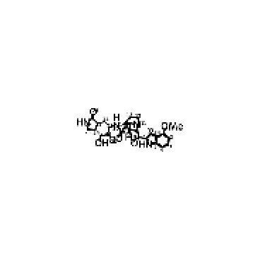 COc1cccc2[nH]c(C(=O)N3C4CCC(CC4)[C@H]3C(=O)N[C@@H](C[C@H]3CCNC3=O)C(=O)CO)cc12